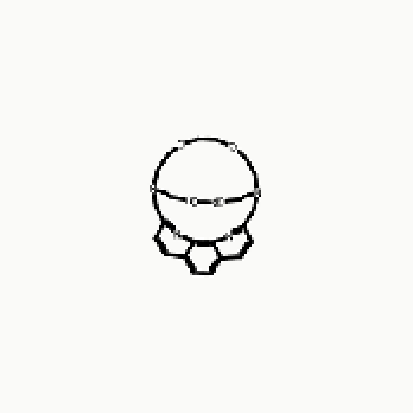 c1cc2ccc3ccc4nc3c2nc1CN1CCOCCOCCN(CCOCCOCC1)C4